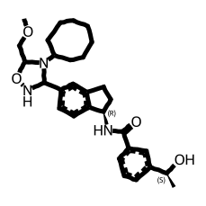 COCC1ONC(c2ccc3c(c2)CC[C@H]3NC(=O)c2cccc([C@H](C)O)c2)N1C1CCCCCCC1